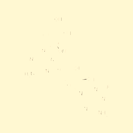 Nc1nc(F)nc2c1ncn2[C@@H]1O[C@H](COc2nc(N)c3ncn([C@@H]4O[C@H](CO)C(O)[C@H]4O)c3n2)C(O)[C@H]1O